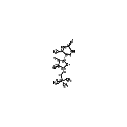 C=C1NC(=O)NC=C1[C@@H]1O[C@H](CCP(=C)(C)C)[C@@H](O)C1I